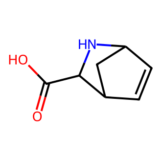 O=C(O)C1NC2C=CC1C2